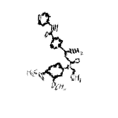 CCN(C(=O)CC(N)c1ccc(C(=O)Nc2ccncc2)cc1)c1ccc(OC)c(OC)c1